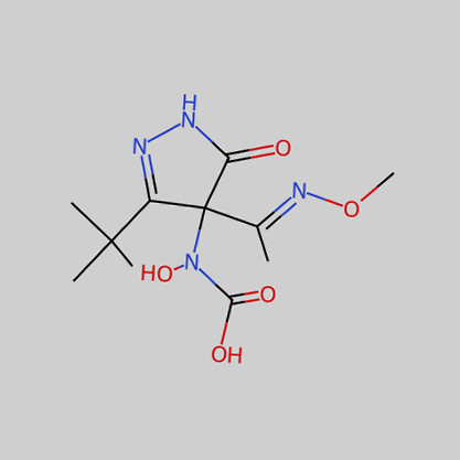 CON=C(C)C1(N(O)C(=O)O)C(=O)NN=C1C(C)(C)C